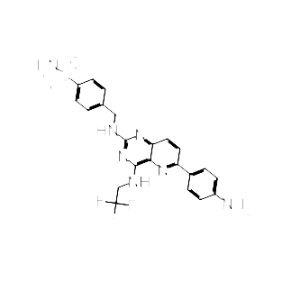 Nc1ccc(-c2ccc3nc(NCc4ccc(S(N)(=O)=O)cc4)nc(NCC(F)(F)F)c3n2)cc1